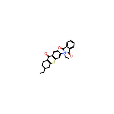 CCC1CCc2c(sc3cc([N+]4(CC)C(=O)c5ccccc5C4=O)ccc3c2=O)C1